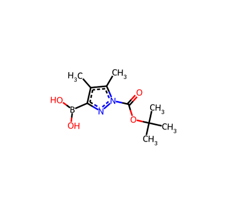 Cc1c(B(O)O)nn(C(=O)OC(C)(C)C)c1C